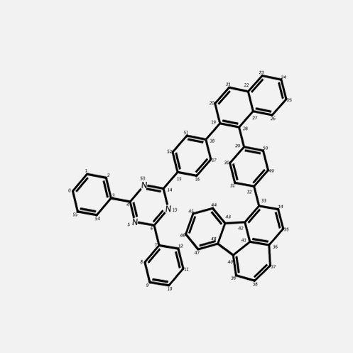 c1ccc(-c2nc(-c3ccccc3)nc(-c3ccc(-c4ccc5ccccc5c4-c4ccc(-c5ccc6cccc7c6c5-c5ccccc5-7)cc4)cc3)n2)cc1